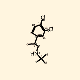 C[C](CNC(C)(C)C)c1ccc(Cl)c(Cl)c1